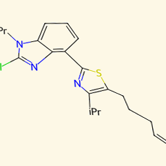 C=CCCCc1sc(-c2cccc3c2nc(Cl)n3C(C)C)nc1C(C)C